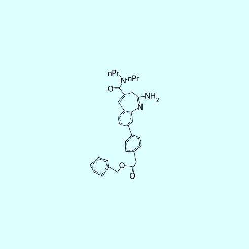 CCCN(CCC)C(=O)C1=Cc2ccc(-c3ccc(CC(=O)OCc4ccccc4)cc3)cc2N=C(N)C1